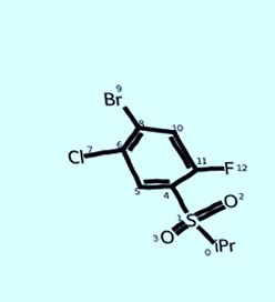 CC(C)S(=O)(=O)c1cc(Cl)c(Br)cc1F